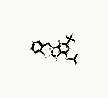 CC(C)Oc1nc(C(C)(C)C)nc2c1nnn2Cc1ccccc1Cl